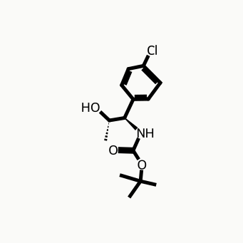 C[C@H](O)[C@H](NC(=O)OC(C)(C)C)c1ccc(Cl)cc1